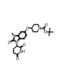 Cn1c(=O)n(C2CCC(=O)NC2=O)c2ccc(OC3CCN(C(=O)OC(C)(C)C)CC3)cc21